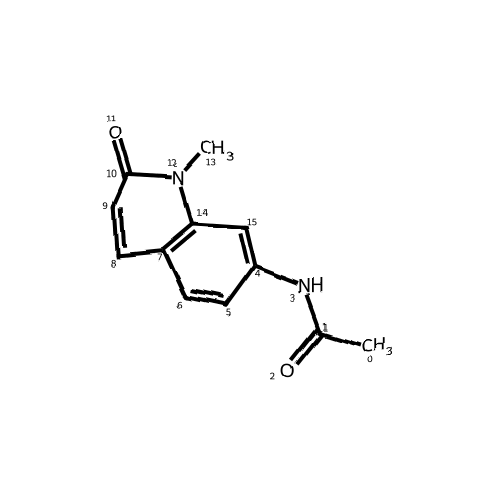 CC(=O)Nc1ccc2ccc(=O)n(C)c2c1